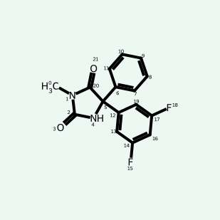 CN1C(=O)NC(c2ccccc2)(c2cc(F)cc(F)c2)C1=O